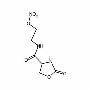 O=C1NC(C(=O)NCCO[N+](=O)[O-])CO1